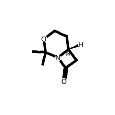 CC1(C)OCC[C@@H]2CC(=O)N21